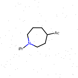 CC(=O)C1CCCN(C(C)C)CC1